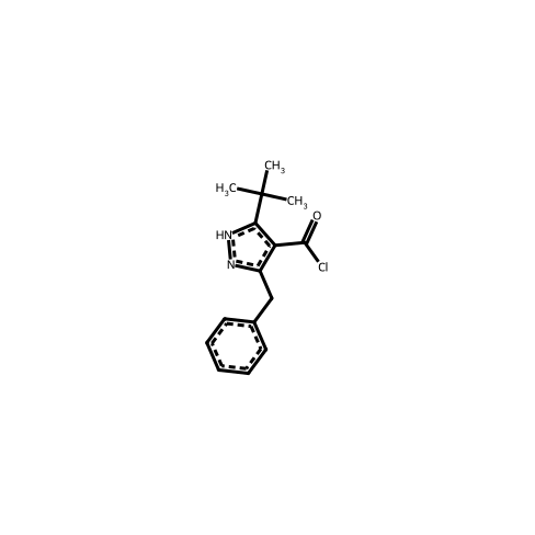 CC(C)(C)c1[nH]nc(Cc2ccccc2)c1C(=O)Cl